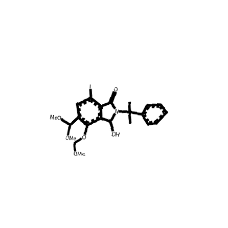 COCOc1c(C(OC)OC)cc(I)c2c1C(O)N(C(C)(C)c1ccccc1)C2=O